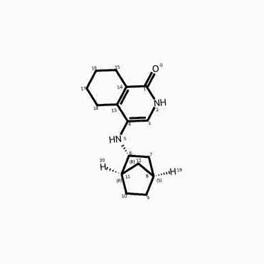 O=c1[nH]cc(N[C@@H]2C[C@H]3CC[C@@H]2C3)c2c1CCCC2